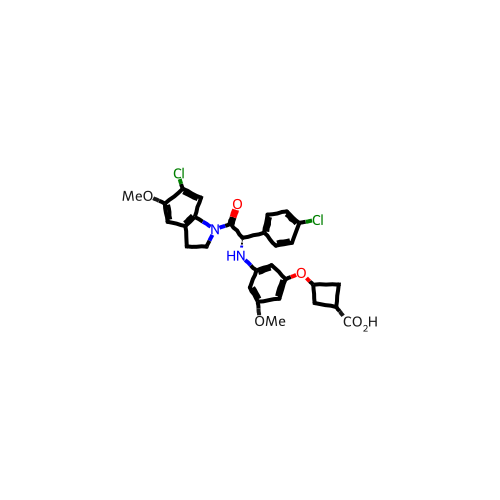 COc1cc(N[C@H](C(=O)N2CCc3cc(OC)c(Cl)cc32)c2ccc(Cl)cc2)cc(OC2CC(C(=O)O)C2)c1